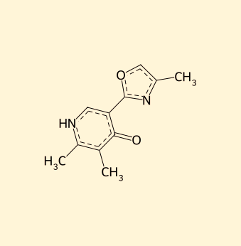 Cc1coc(-c2c[nH]c(C)c(C)c2=O)n1